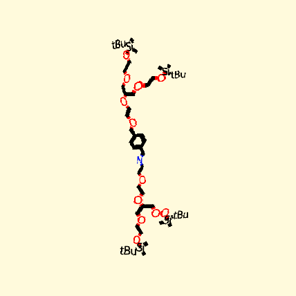 CC(C)(C)[Si](C)(C)OCCOCC(COCCO[Si](C)(C)C(C)(C)C)OCCOCc1ccc(/C=N/CCOCCOC(COCCO[Si](C)(C)C(C)(C)C)COO[Si](C)(C)C(C)(C)C)cc1